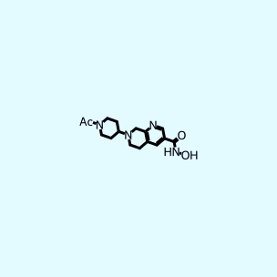 CC(=O)N1CCC(N2CCc3cc(C(=O)NO)cnc3C2)CC1